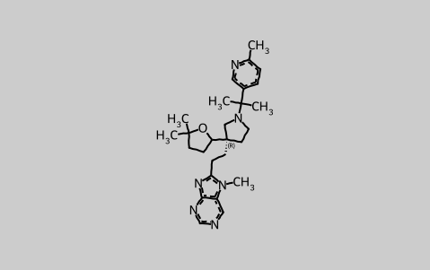 Cc1ccc(C(C)(C)N2CC[C@@](CCc3nc4ncncc4n3C)(C3CCC(C)(C)O3)C2)cn1